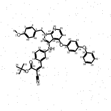 COc1ccc(Cn2nc(Nc3cccc(/C=C(/C#N)C(=O)OC(C)(C)C)c3)c3c(Oc4ccc(Oc5ccccc5)cc4)ccnc32)cc1